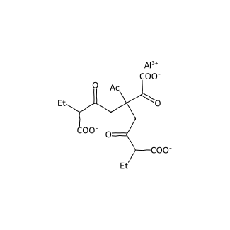 CCC(C(=O)[O-])C(=O)CC(CC(=O)C(CC)C(=O)[O-])(C(C)=O)C(=O)C(=O)[O-].[Al+3]